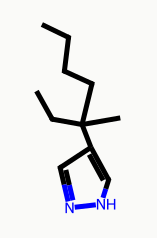 CCCCC(C)(CC)c1cn[nH]c1